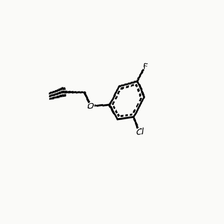 C#CCOc1cc(F)cc(Cl)c1